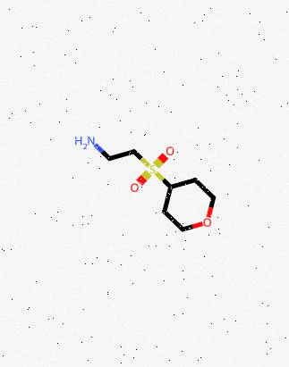 NCCS(=O)(=O)C1CCOCC1